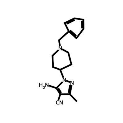 Cc1nn(C2CCN(Cc3ccccc3)CC2)c(N)c1C#N